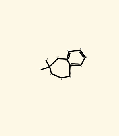 CC1(C)CCCc2ccccc2C1